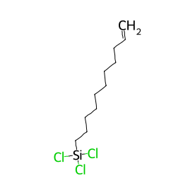 C=CCCCCCCCCC[Si](Cl)(Cl)Cl